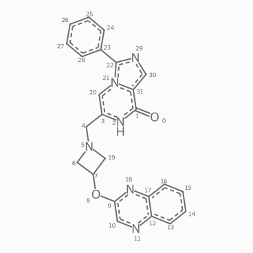 O=c1[nH]c(CN2CC(Oc3cnc4ccccc4n3)C2)cn2c(-c3ccccc3)ncc12